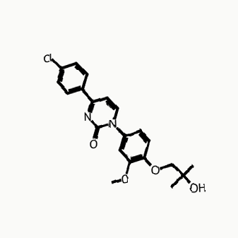 COc1cc(-n2ccc(-c3ccc(Cl)cc3)nc2=O)ccc1OCC(C)(C)O